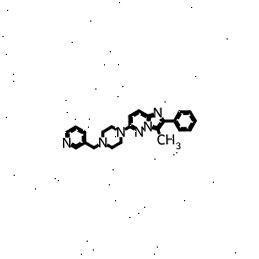 Cc1c(-c2ccccc2)nc2ccc(N3CCN(Cc4cccnc4)CC3)nn12